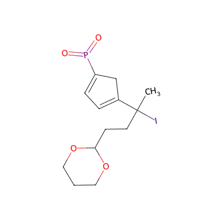 CC(I)(CCC1OCCCO1)C1=CC=C(P(=O)=O)C1